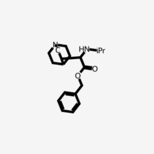 CC(C)NC(C(=O)OCc1ccccc1)C1CN2CCC1CC2